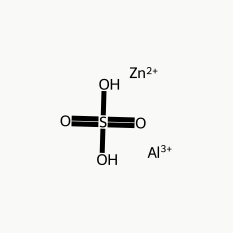 O=S(=O)(O)O.[Al+3].[Zn+2]